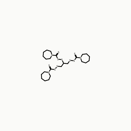 S=C(SSCC(CSSC(=S)N1CCCCCC1)SSC(=S)N1CCCCCC1)N1CCCCCC1